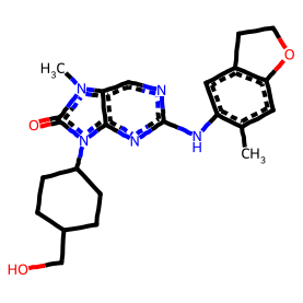 Cc1cc2c(cc1Nc1ncc3c(n1)n(C1CCC(CO)CC1)c(=O)n3C)CCO2